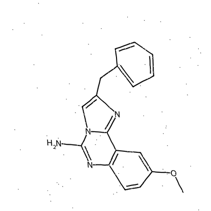 COc1ccc2nc(N)n3cc(Cc4ccccc4)nc3c2c1